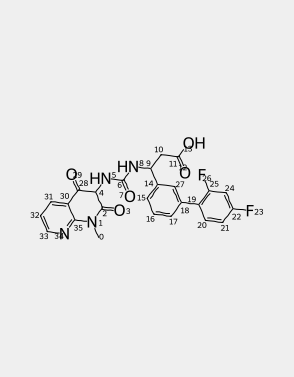 CN1C(=O)C(NC(=O)NC(CC(=O)O)c2cccc(-c3ccc(F)cc3F)c2)C(=O)c2cccnc21